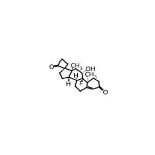 C[C@]12CCC(=O)C=C1CC[C@H]1[C@@H]3CC[C@@]4(CCC4=O)[C@@]3(C)C[C@H](O)[C@@]12F